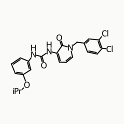 CC(C)Oc1cccc(NC(=O)Nc2cccn(Cc3ccc(Cl)c(Cl)c3)c2=O)c1